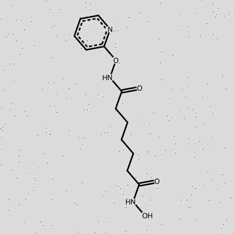 O=C(CCCCCC(=O)NOc1ccccn1)NO